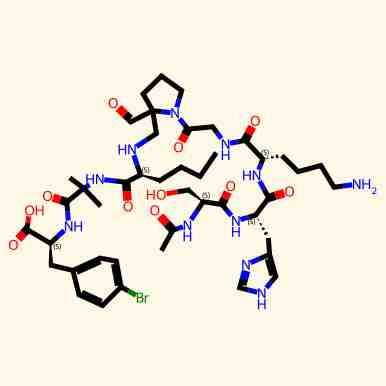 CCCC[C@H](NCC1(C=O)CCCN1C(=O)CNC(=O)[C@H](CCCCN)NC(=O)[C@H](Cc1c[nH]cn1)NC(=O)[C@H](CO)NC(C)=O)C(=O)NC(C)(C)C(=O)N[C@@H](Cc1ccc(Br)cc1)C(=O)O